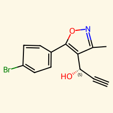 C#C[C@H](O)c1c(C)noc1-c1ccc(Br)cc1